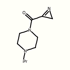 CC(C)N1CCN(C(=O)C2=NC2)CC1